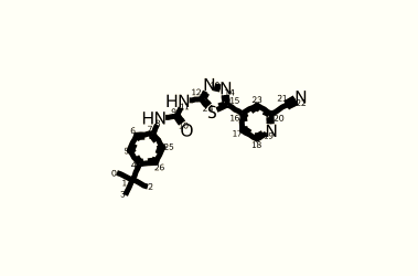 CC(C)(C)c1ccc(NC(=O)Nc2nnc(-c3ccnc(C#N)c3)s2)cc1